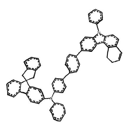 C1=Cc2ccc3c(c2CC1)c1cc(-c2ccc(-c4ccc(N(c5ccccc5)c5ccc6c(c5)C5(Cc7ccccc7C5)c5ccccc5-6)cc4)cc2)ccc1n3-c1ccccc1